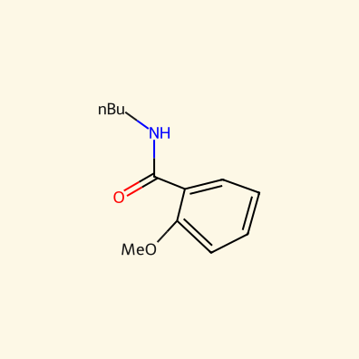 [CH2]CCCNC(=O)c1ccccc1OC